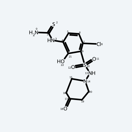 NC(=S)Nc1ccc(Cl)c(S(=O)(=O)NN2CCC(=O)CC2)c1O